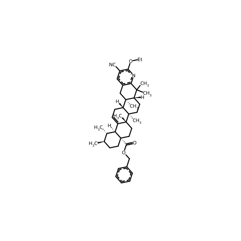 CCOc1nc2c(cc1C#N)C[C@]1(C)[C@H]3CC=C4[C@@H]5[C@@H](C)[C@H](C)CC[C@]5(C(=O)OCc5ccccc5)CC[C@@]4(C)[C@]3(C)CC[C@H]1C2(C)C